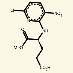 COC(=O)[C@H](CCC(=O)O)Nc1nc(Cl)ccc1[N+](=O)[O-]